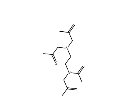 C=C(C)CN(CCN(CC(=C)C)C(=C)C)CC(C)=S